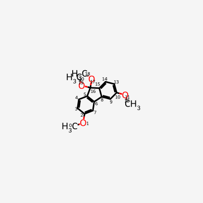 COc1ccc2c(c1)-c1cc(OC)ccc1C2(OC)OC